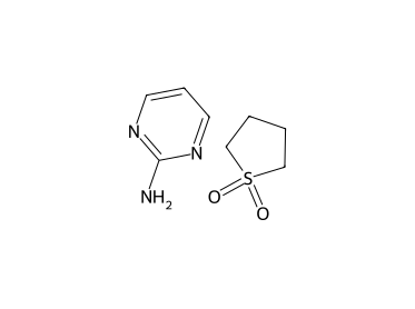 Nc1ncccn1.O=S1(=O)CCCC1